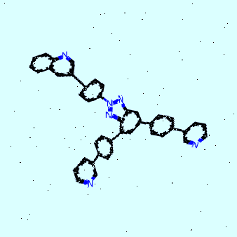 c1cncc(-c2ccc(-c3cc(-c4ccc(-c5cccnc5)cc4)c4nn(-c5ccc(-c6cnc7ccccc7c6)cc5)nc4c3)cc2)c1